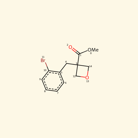 COC(=O)C1(Cc2ccccc2Br)COC1